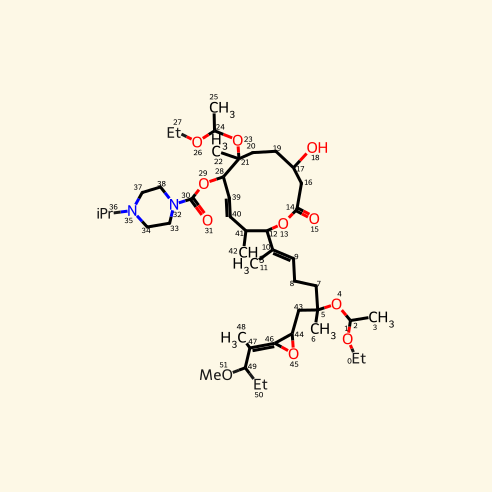 CCOC(C)OC(C)(CC/C=C(\C)C1OC(=O)CC(O)CCC(C)(OC(C)OCC)C(OC(=O)N2CCN(C(C)C)CC2)/C=C/C1C)CC1OC1=C(C)C(CC)OC